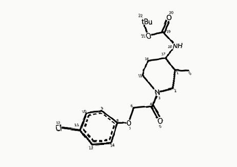 CC1CN(C(=O)COc2ccc(Cl)cc2)CCC1NC(=O)OC(C)(C)C